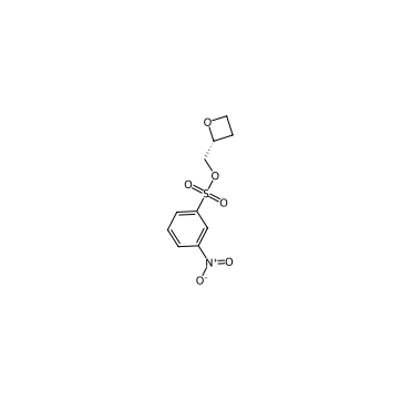 O=[N+]([O-])c1cccc(S(=O)(=O)OC[C@H]2CCO2)c1